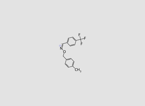 Cc1ccc(CO/N=[C]\c2ccc(C(F)(F)F)cc2)cc1